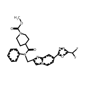 COC(=O)N1CCC(C(=O)N(Cc2cn3ccc(-c4nnc(C(F)F)o4)cc3n2)c2ccccc2)CC1